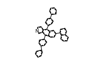 c1ccc(-c2ccc(-c3c4ccc(-c5cccc6ccccc56)cc4c(-c4ccc(-c5ccccc5)cc4)c4ccncc34)cc2)cc1